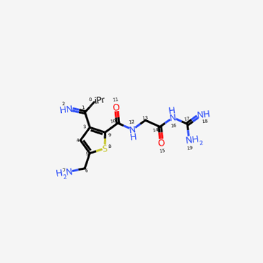 CC(C)C(=N)c1cc(CN)sc1C(=O)NCC(=O)NC(=N)N